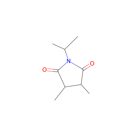 CC1C(=O)N(C(C)C)C(=O)C1C